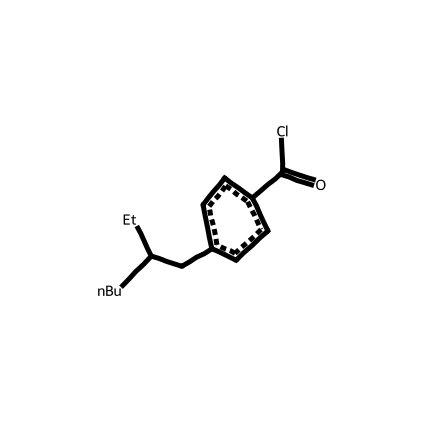 CCCCC(CC)Cc1ccc(C(=O)Cl)cc1